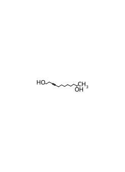 CC(O)CCCCCCC#CCCO